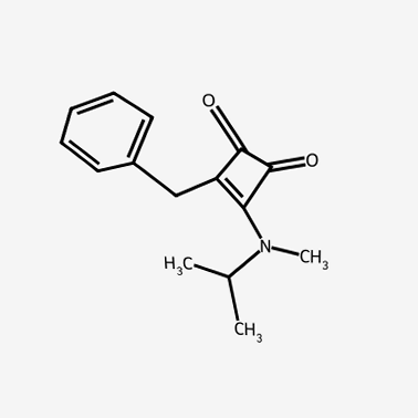 CC(C)N(C)c1c(Cc2ccccc2)c(=O)c1=O